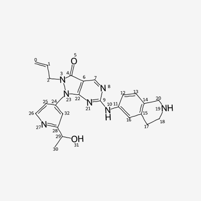 C=CCn1c(=O)c2cnc(Nc3ccc4c(c3)CCNC4)nc2n1-c1ccnc(C(C)O)c1